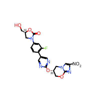 O=C1O[C@H](CO)CN1c1ccc(-c2cnc(O[C@H]3COc4nc([N+](=O)[O-])cn4C3)nc2)c(F)c1